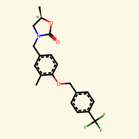 Cc1cc(CN2C[C@@H](C)OC2=O)ccc1OCc1ccc(C(F)(F)F)cc1